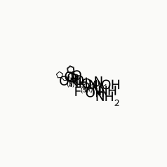 C[C@H](N[P@@](=O)(OC[C@H]1O[C@@H](n2cnc3c2N=C(N)NC3O)[C@H](O)[C@@H]1CF)Oc1ccccc1)C(=O)OC1CCCC1